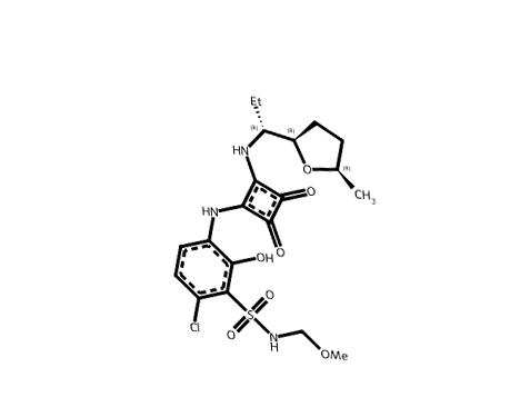 CC[C@@H](Nc1c(Nc2ccc(Cl)c(S(=O)(=O)NCOC)c2O)c(=O)c1=O)[C@H]1CC[C@@H](C)O1